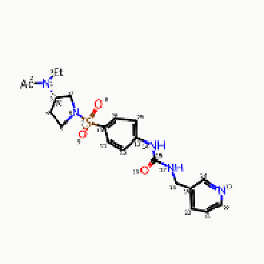 CCN(C(C)=O)[C@H]1CCN(S(=O)(=O)c2ccc(NC(=O)NCc3cccnc3)cc2)C1